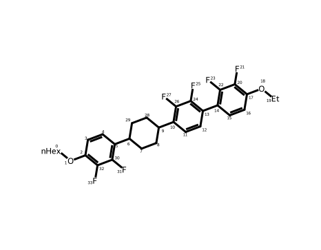 CCCCCCOc1ccc(C2CCC(c3ccc(-c4ccc(OCC)c(F)c4F)c(F)c3F)CC2)c(F)c1F